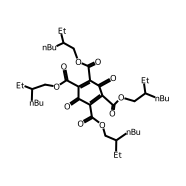 CCCCC(CC)COC(=O)C1=C(C(=O)OCC(CC)CCCC)C(=O)C(C(=O)OCC(CC)CCCC)=C(C(=O)OCC(CC)CCCC)C1=O